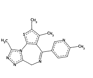 Cc1ccc(C2=NCc3nnc(C)n3-c3sc(C)c(C)c32)cn1